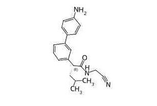 CC(C)C[C@@H](C(=O)NCC#N)c1cccc(-c2ccc(N)cc2)c1